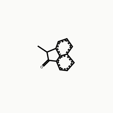 CC1C(=O)c2cccc3cccc1c23